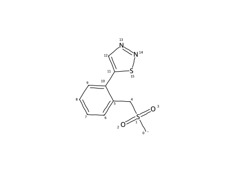 [CH2]S(=O)(=O)Cc1ccccc1-c1cnns1